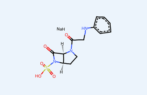 O=C(CNc1ccccc1)N1CC[C@@H]2[C@H]1C(=O)N2S(=O)(=O)O.[NaH]